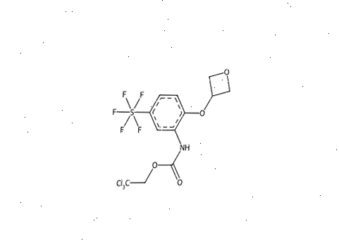 O=C(Nc1cc(S(F)(F)(F)(F)F)ccc1OC1COC1)OCC(Cl)(Cl)Cl